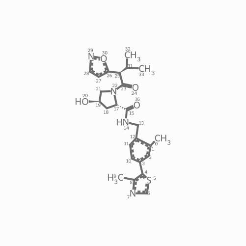 Cc1cc(-c2scnc2C)ccc1CNC(=O)[C@@H]1C[C@@H](O)CN1C(=O)[C@@H](c1ccno1)C(C)C